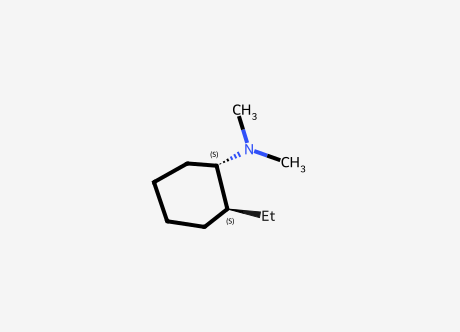 CC[C@H]1CCCC[C@@H]1N(C)C